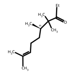 CCC(=O)C(C)(C)[C@H](C)CCC=C(C)C